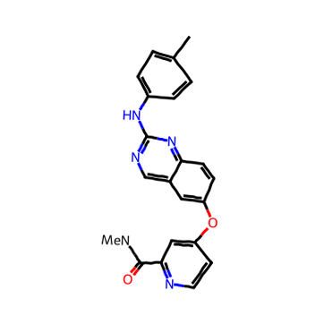 CNC(=O)c1cc(Oc2ccc3nc(Nc4ccc(C)cc4)ncc3c2)ccn1